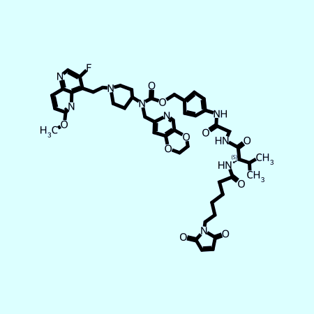 COc1ccc2ncc(F)c(CCN3CCC(N(Cc4cc5c(cn4)OCCO5)C(=O)OCc4ccc(NC(=O)CNC(=O)[C@@H](NC(=O)CCCCCN5C(=O)C=CC5=O)C(C)C)cc4)CC3)c2n1